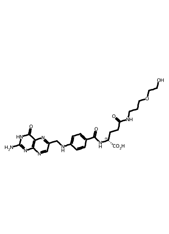 Nc1nc2ncc(CNc3ccc(C(=O)N[C@H](CCC(=O)NCCCOCCO)C(=O)O)cc3)nc2c(=O)[nH]1